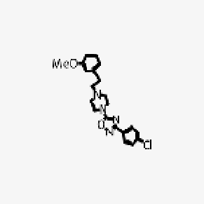 COc1cccc(CCN2CCN(c3nc(-c4ccc(Cl)cc4)no3)CC2)c1